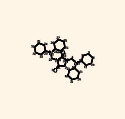 O=C1CN(CN(C2CCCCC2)C2CCCCC2)C(=O)N1CN(C1CCCCC1)C1CCCCC1